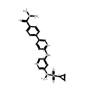 CN(C)C(=O)c1ccc(-c2ccc(Nc3cncc(N(C)S(=O)(=O)C4CC4)c3)nc2)cc1